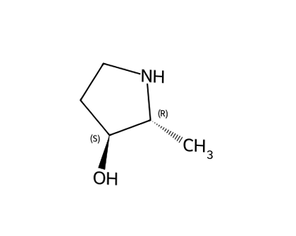 C[C@H]1NCC[C@@H]1O